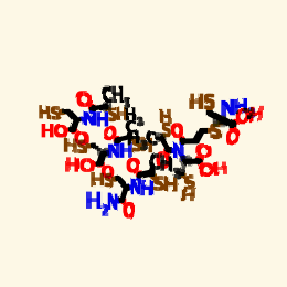 CC(S)C(=O)NC(CS)C(N)=O.CC(S)C(=O)N[C@@H](CS)C(=O)O.C[C@@H](S)C(=O)N(C(=O)CCS[C@@](N)(CS)C(=O)O)[C@@H](CS)C(=O)O.C[C@H](S)C(=O)NC(CS)C(=O)O